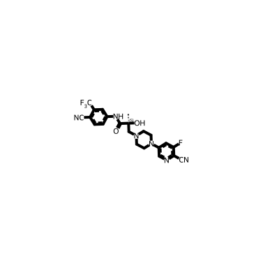 C[C@](O)(CN1CCN(c2cnc(C#N)c(F)c2)CC1)C(=O)Nc1ccc(C#N)c(C(F)(F)F)c1